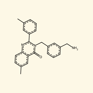 Cc1cccc(-c2nc3ccc(C)cc3c(=O)n2Cc2cccc(CN)c2)c1